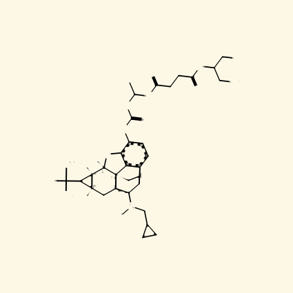 CC[C@]12C[C@@H]3C(C(C)(O)C(C)(C)C)[C@]3(OC)[C@@H]3Oc4c(OC(=O)OC(C)OC(=O)CCC(=O)OC(COC(C)=O)COC(C)=O)ccc(c4[C@@]31CI)CC2N(I)CC1CC1